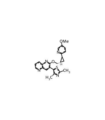 COc1ccc(C2C[C@@H]2COc2nc3cccnc3cc2-c2sc(C)nc2C)nc1